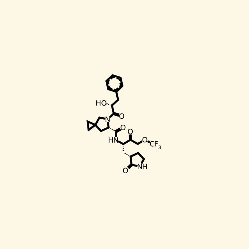 O=C1NCC[C@H]1C[C@H](NC(=O)[C@@H]1CC2(CC2)CN1C(=O)[C@H](O)Cc1ccccc1)C(=O)COC(F)(F)F